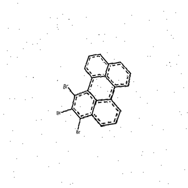 Brc1c(Br)c2cccc3c4cccc5cccc(c(c1Br)c23)c54